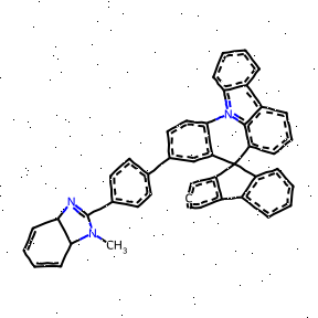 CN1C(c2ccc(-c3ccc4c(c3)C3(c5ccccc5-c5ccccc53)c3cccc5c6ccccc6n-4c35)cc2)=NC2C=CC=CC21